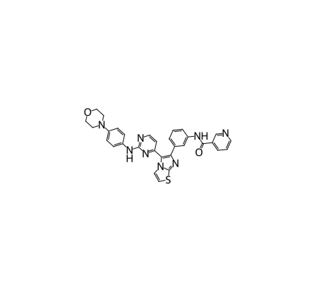 O=C(Nc1cccc(-c2nc3sccn3c2-c2ccnc(Nc3ccc(N4CCOCC4)cc3)n2)c1)c1cccnc1